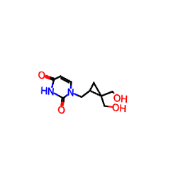 O=c1ccn(CC2CC2(CO)CO)c(=O)[nH]1